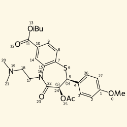 COc1ccc([C@@H]2Sc3ccc(C(=O)OCC(C)C)cc3N(CCN(C)C)C(=O)[C@@H]2OC(C)=O)cc1